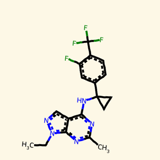 CCn1ncc2c(NC3(c4ccc(C(F)(F)F)c(F)c4)CC3)nc(C)nc21